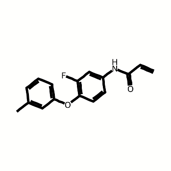 C=CC(=O)Nc1ccc(Oc2cccc(C)c2)c(F)c1